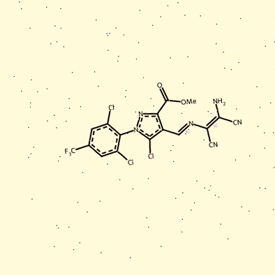 COC(=O)c1nn(-c2c(Cl)cc(C(F)(F)F)cc2Cl)c(Cl)c1/C=N/C(C#N)=C(\N)C#N